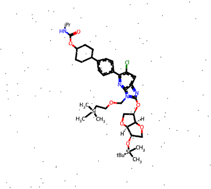 CC(C)NC(=O)OC1CCC(c2ccc(-c3nc4c(cc3Cl)nc(O[C@@H]3CO[C@H]5[C@@H]3OC[C@H]5O[Si](C)(C)C(C)(C)C)n4COCC[Si](C)(C)C)cc2)CC1